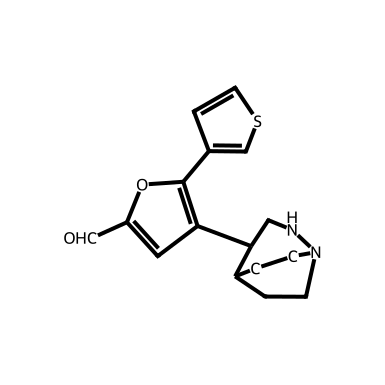 O=Cc1cc(C2CNN3CCC2CC3)c(-c2ccsc2)o1